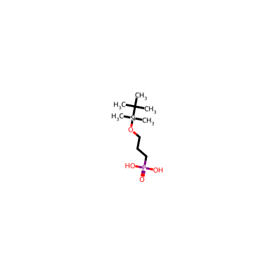 CC(C)(C)[Si](C)(C)OCCCP(=O)(O)O